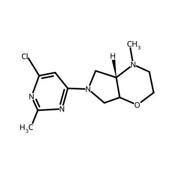 Cc1nc(Cl)cc(N2CC3OCCN(C)[C@H]3C2)n1